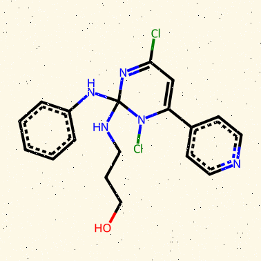 OCCCNC1(Nc2ccccc2)N=C(Cl)C=C(c2ccncc2)N1Cl